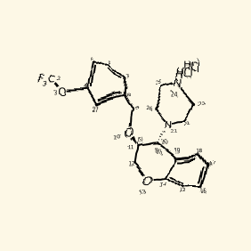 Cl.Cl.FC(F)(F)Oc1cccc(CO[C@@H]2COc3ccccc3[C@H]2N2CCNCC2)c1